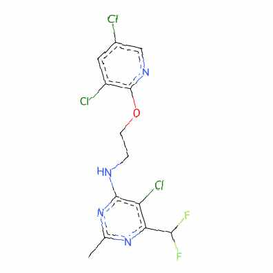 Cc1nc(NCCOc2ncc(Cl)cc2Cl)c(Cl)c(C(F)F)n1